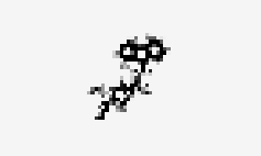 CCOC1(OCC)CCN(C(=O)OCC2c3ccccc3-c3ccccc32)CC1